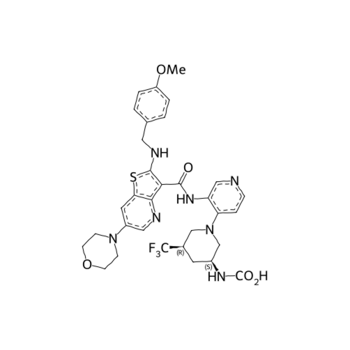 COc1ccc(CNc2sc3cc(N4CCOCC4)cnc3c2C(=O)Nc2cnccc2N2C[C@@H](NC(=O)O)C[C@@H](C(F)(F)F)C2)cc1